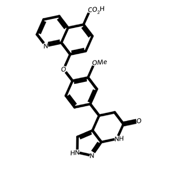 COc1cc(C2CC(=O)Nc3n[nH]cc32)ccc1Oc1ccc(C(=O)O)c2cccnc12